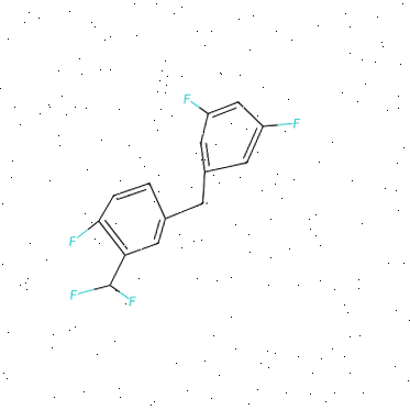 Fc1cc(F)cc([CH]c2ccc(F)c(C(F)F)c2)c1